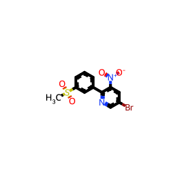 CS(=O)(=O)c1cccc(-c2ncc(Br)cc2[N+](=O)[O-])c1